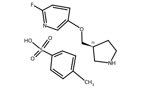 Cc1ccc(S(=O)(=O)O)cc1.Fc1ccc(OC[C@H]2CCNC2)cn1